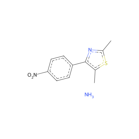 Cc1nc(-c2ccc([N+](=O)[O-])cc2)c(C)s1.N